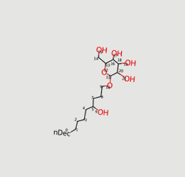 CCCCCCCCCCCCCCC(O)CCCOC1OC(CO)C(O)C(O)C1O